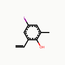 C=Cc1cc(I)cc(C)c1O